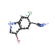 N#Cc1cc2c(Br)c[nH]c2cc1Cl